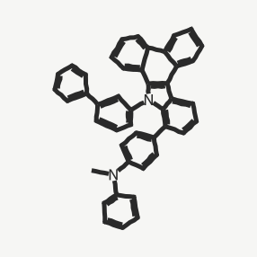 CN(c1ccccc1)c1ccc(-c2cccc3c4c5ccccc5c5ccccc5c4n(-c4cccc(-c5ccccc5)c4)c23)cc1